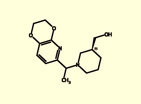 CC(c1ccc2c(n1)OCCO2)N1CCC[C@H](CO)C1